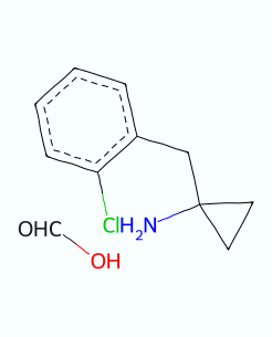 NC1(Cc2ccccc2Cl)CC1.O=CO